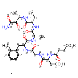 CCCC[C@H](NC(=O)[C@H](CC(C)C)NC(=O)[C@@H](NC(=O)[C@H](Cc1ccccc1C)NC(=O)CNC(=O)[C@H](CC(=O)O)NC(=O)CCC(=O)O)C(C)(C)C)C(=O)C(N)=O